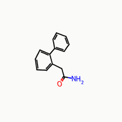 NC(=O)Cc1ccccc1-c1ccccc1